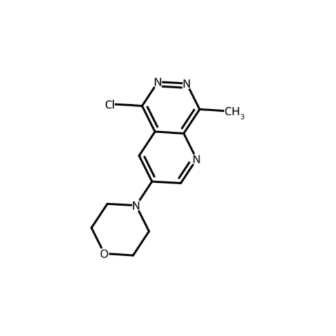 Cc1nnc(Cl)c2cc(N3CCOCC3)cnc12